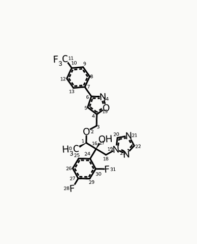 C[C@@H](OCc1cc(-c2ccc(C(F)(F)F)cc2)no1)[C@](O)(Cn1cncn1)c1ccc(F)cc1F